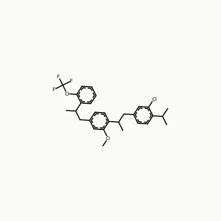 COc1cc(CC(C)c2ccccc2OC(F)(F)F)ccc1C(C)Cc1ccc(C(C)C)c(Cl)c1